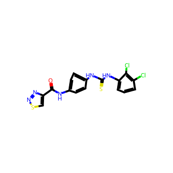 O=C(Nc1ccc(NC(=S)Nc2cccc(Cl)c2Cl)cc1)c1csnn1